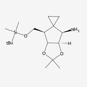 CC1(C)OC2[C@@H](CO[Si](C)(C)C(C)(C)C)C3(CC3)[C@@H](N)[C@H]2O1